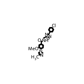 COc1cc(C(=O)NCc2nc(-c3ccc(Cl)cc3)no2)ccc1-n1cnc(C)c1